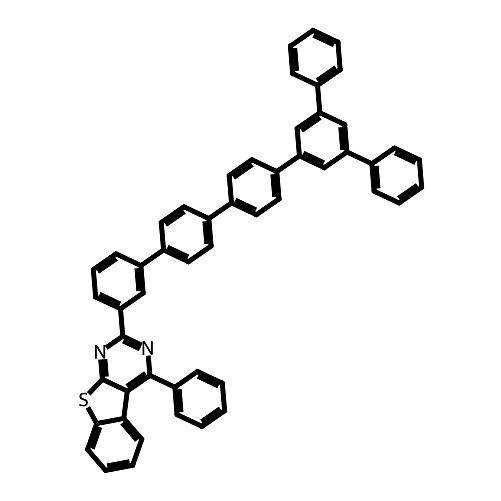 c1ccc(-c2cc(-c3ccccc3)cc(-c3ccc(-c4ccc(-c5cccc(-c6nc(-c7ccccc7)c7c(n6)sc6ccccc67)c5)cc4)cc3)c2)cc1